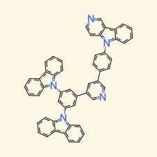 c1ccc2c(c1)c1ccccc1n2-c1cc(-c2cncc(-c3ccc(-n4c5ccccc5c5cnccc54)cc3)c2)cc(-n2c3ccccc3c3ccccc32)c1